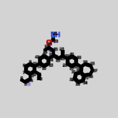 C=Cc1c(/C=C\C)cccc1-c1ccc(C(/C=C(\C)OC=N)=C/C(=C)c2ccc(C3=c4ccccc4=CCC=C3)cc2)cc1